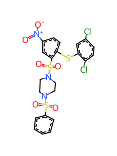 O=[N+]([O-])c1ccc(Sc2cc(Cl)ccc2Cl)c(S(=O)(=O)N2CCN(S(=O)(=O)c3ccccc3)CC2)c1